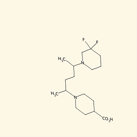 CC(CCC(C)N1CCCC(F)(F)C1)N1CCC(C(=O)O)CC1